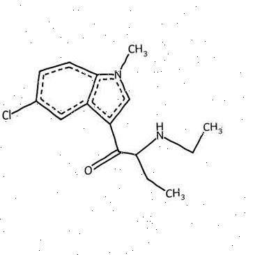 CCNC(CC)C(=O)c1cn(C)c2ccc(Cl)cc12